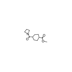 COC(=O)C1CCC(C(=O)N2CCC2)CC1